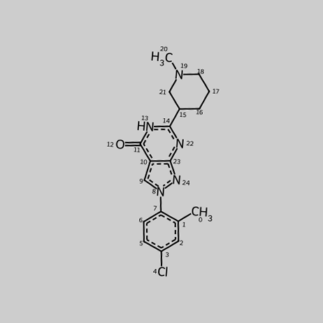 Cc1cc(Cl)ccc1-n1cc2c(=O)[nH]c(C3CCCN(C)C3)nc2n1